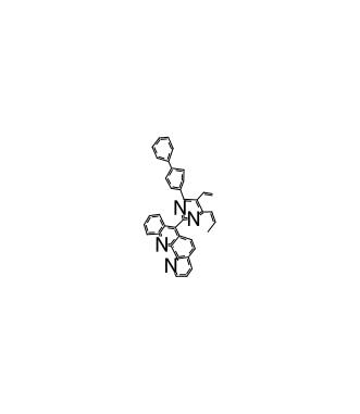 C=Cc1c(/C=C\C)nc(-c2c3ccccc3nc3c2ccc2cccnc23)nc1-c1ccc(-c2ccccc2)cc1